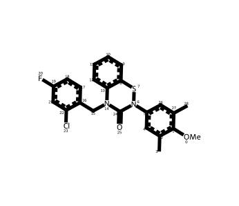 COc1c(C)cc(N2Sc3ccccc3N(Cc3ccc(F)cc3Cl)C2=O)cc1C